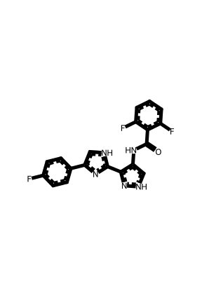 O=C(Nc1c[nH]nc1-c1nc(-c2ccc(F)cc2)c[nH]1)c1c(F)cccc1F